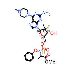 COC(=O)C(C)N(Oc1ccccc1)[PH](=O)OC[C@H]1O[C@@H](n2cnc3c(N4CCN(C)CC4)nc(N)nc32)[C@](C)(F)[C@@H]1O